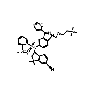 CC1(C)CC(N(c2ccc3c(c2)c(-c2cnco2)nn3COCCS(C)(C)C)S(=O)(=O)c2ccccc2[N+](=O)[O-])c2ccc(C#N)cc21